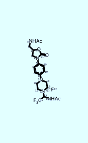 CC(=O)NCC1CN(c2ccc(N3CCN(C(NC(C)=O)C(F)(F)F)[C@@H](F)C3)cc2)C(=O)O1